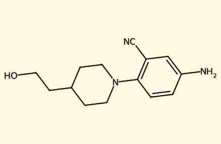 N#Cc1cc(N)ccc1N1CCC(CCO)CC1